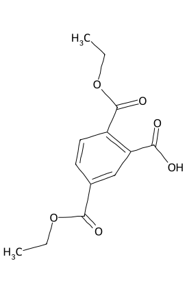 CCOC(=O)c1ccc(C(=O)OCC)c(C(=O)O)c1